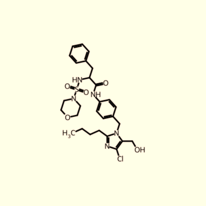 CCCCc1nc(Cl)c(CO)n1Cc1ccc(NC(=O)C(Cc2ccccc2)NS(=O)(=O)N2CCOCC2)cc1